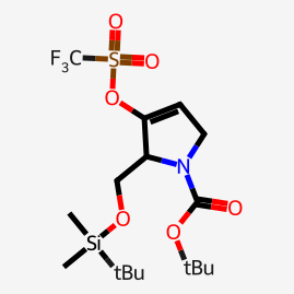 CC(C)(C)OC(=O)N1CC=C(OS(=O)(=O)C(F)(F)F)C1CO[Si](C)(C)C(C)(C)C